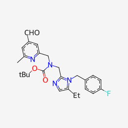 CCc1cnc(CN(Cc2cc(C=O)cc(C)n2)C(=O)OC(C)(C)C)n1Cc1ccc(F)cc1